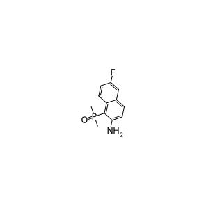 CP(C)(=O)c1c(N)ccc2cc(F)ccc12